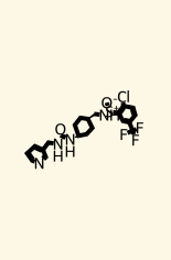 O=C(NCc1cccnc1)N[C@H]1CC[C@H](CN[S+]([O-])c2cc(C(F)(F)F)ccc2Cl)CC1